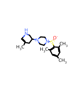 CC1=CNCC(N2CCN([S+]([O-])c3c(C)cc(C)cc3C)CC2)C1